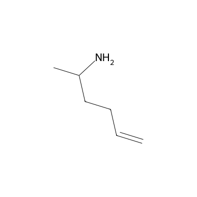 C=CCCC(C)N